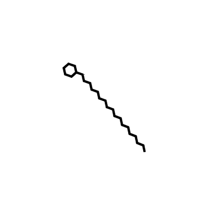 CCCCCCCCCCCCCCCCC[CH]C1CCCCC1